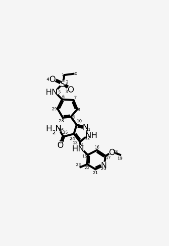 CCS(=O)(=O)Nc1ccc(-c2n[nH]c(Nc3cc(OC)ncc3C)c2C(N)=O)cc1